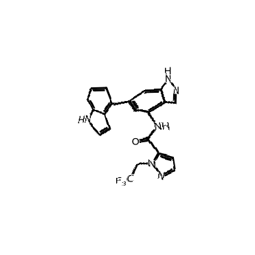 O=C(Nc1cc(-c2cccc3[nH]ccc23)cc2[nH]ncc12)c1ccnn1CC(F)(F)F